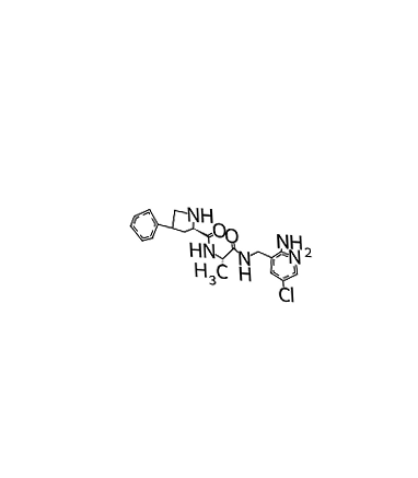 C[C@H](NC(=O)[C@H]1CC(c2ccccc2)CN1)C(=O)NCc1cc(Cl)cnc1N